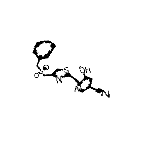 N#Cc1cnc(-c2nc(CS(=O)(=O)Cc3ccccc3)cs2)c(O)c1